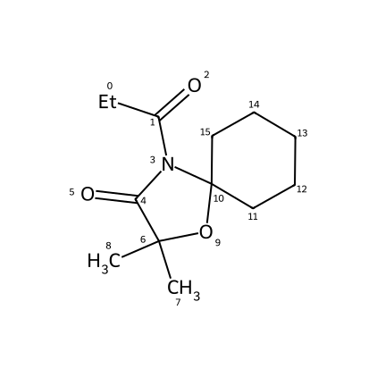 CCC(=O)N1C(=O)C(C)(C)OC12CCCCC2